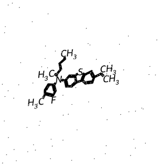 CCCCC(C)N(c1ccc(C)c(F)c1)c1ccc2c(c1)sc1cc(C(C)C)ccc12